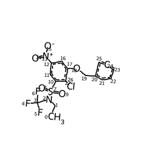 CCN(C(F)(F)F)S(=O)(=O)c1cc([N+](=O)[O-])cc(OCc2ccccc2)c1Cl